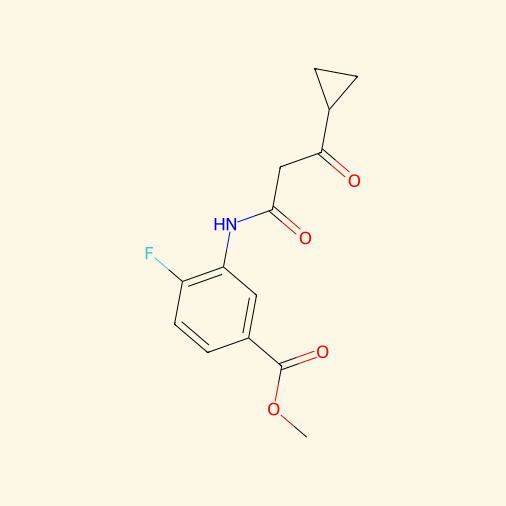 COC(=O)c1ccc(F)c(NC(=O)CC(=O)C2CC2)c1